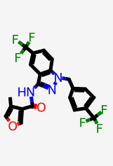 Cc1cocc1C(=O)Nc1nn(Cc2ccc(C(F)(F)F)cc2)c2ccc(C(F)(F)F)cc12